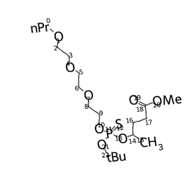 CCCOCCOCCOCCOP(=S)(OC(C)CCC(=O)OC)OC(C)(C)C